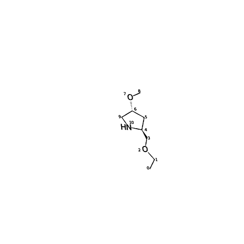 CCOC[C@@H]1C[C@@H](OC)CN1